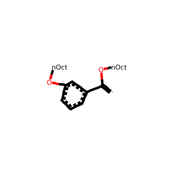 [CH]=C(OCCCCCCCC)c1cc[c]c(OCCCCCCCC)c1